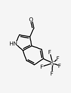 O=Cc1c[nH]c2ccc(S(F)(F)(F)(F)F)cc12